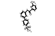 Cc1cccc(C(=O)Cc2ccnc(-c3ccc(S(C)(=O)=O)cc3)c2)n1